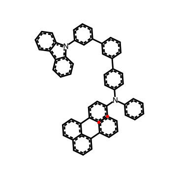 c1ccc(-c2cccc3cccc(-c4ccc(N(c5ccccc5)c5ccc(-c6cccc(-c7cccc(-n8c9ccccc9c9ccccc98)c7)c6)cc5)cc4)c23)cc1